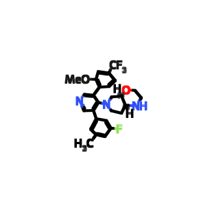 COc1cc(C(F)(F)F)ccc1-c1cncc(-c2cc(C)cc(F)c2)c1N1CC[C@H]2NCCO[C@@H]2C1